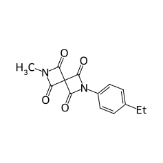 CCc1ccc(N2C(=O)C3(C(=O)N(C)C3=O)C2=O)cc1